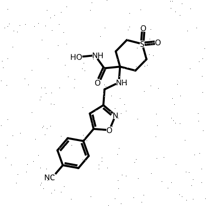 N#Cc1ccc(-c2cc(CNC3(C(=O)NO)CCS(=O)(=O)CC3)no2)cc1